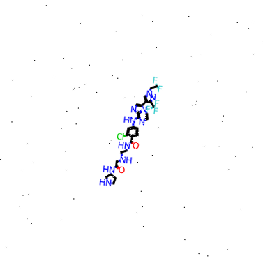 O=C(CNCCNC(=O)c1ccc(Nc2nccn3c(-c4cn(CC(F)F)nc4C(F)(F)F)cnc23)cc1Cl)NC1CCNC1